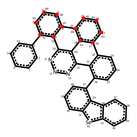 c1ccc(-c2ccccc2-c2nnnc(-c3c(-c4ccccc4)cccc3-c3cccc4[se]c5ccccc5c34)c2-c2ccccc2-c2ccccc2)cc1